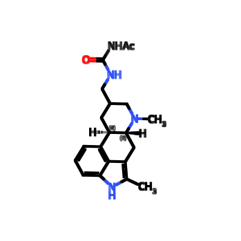 CC(=O)NC(=O)NCC1C[C@@H]2c3cccc4[nH]c(C)c(c34)C[C@H]2N(C)C1